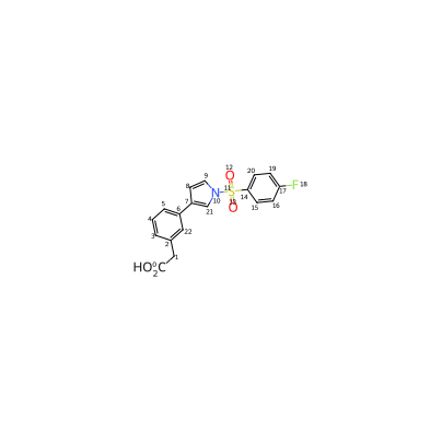 O=C(O)Cc1cccc(-c2ccn(S(=O)(=O)c3ccc(F)cc3)c2)c1